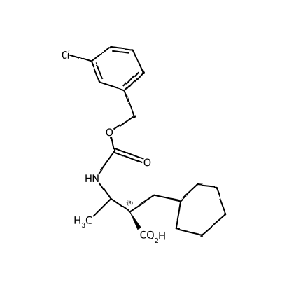 CC(NC(=O)OCc1cccc(Cl)c1)[C@@H](CC1CCCCC1)C(=O)O